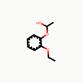 CCOc1ccccc1OC(C)O